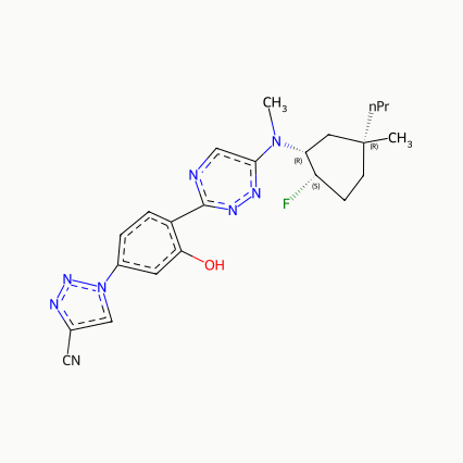 CCC[C@]1(C)CC[C@H](F)[C@H](N(C)c2cnc(-c3ccc(-n4cc(C#N)nn4)cc3O)nn2)C1